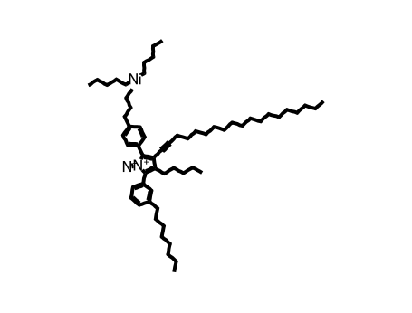 CCCCCCCCCCCCCCCCCC#CC1=C(c2ccc(CCCC)cc2)[N+](=[N-])C(c2cccc(CCCCCCCC)c2)=C1CCCCC.CCCC[CH2][Ni][CH2]CCCC